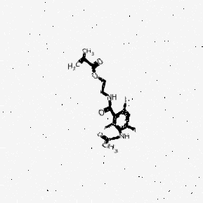 C=C(C)C(=O)OCCNC(=O)c1c(I)cc(I)c(NC(C)=O)c1I